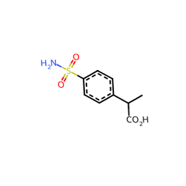 CC(C(=O)O)c1ccc(S(N)(=O)=O)cc1